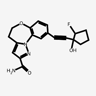 NC(=O)c1cc2n(n1)-c1cc(C#CC3(O)CCCC3F)ccc1OCC2